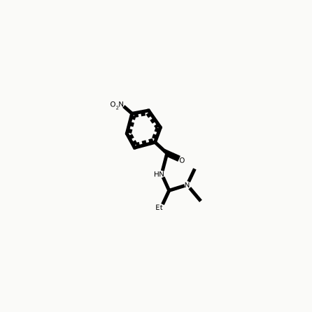 CCC(NC(=O)c1ccc([N+](=O)[O-])cc1)N(C)C